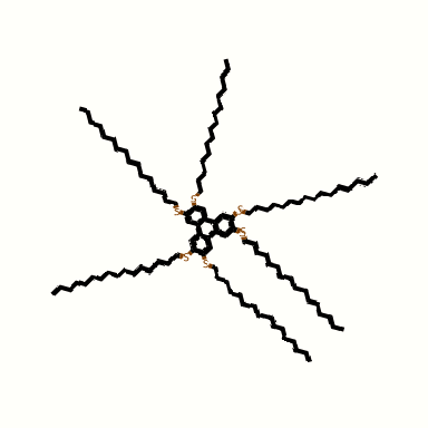 CCCCCCCCCCCCCCCCSc1cc2c3cc(SCCCCCCCCCCCCCCCC)c(SCCCCCCCCCCCCCCCC)cc3c3cc(SCCCCCCCCCCCCCCCC)c(SCCCCCCCCCCCCCCCC)cc3c2cc1SCCCCCCCCCCCCCCCC